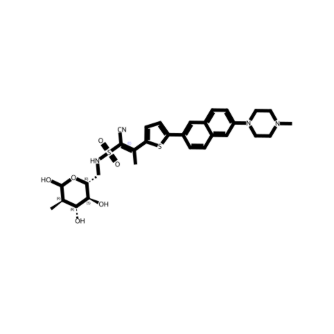 C/C(=C(/C#N)S(=O)(=O)NC[C@H]1OC(O)[C@H](C)[C@@H](O)[C@@H]1O)c1ccc(-c2ccc3cc(N4CCN(C)CC4)ccc3c2)s1